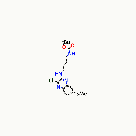 CSc1ccc2nc(Cl)c(NCCCCNC(=O)OC(C)(C)C)nc2c1